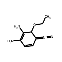 CCOC1C(=[N+]=[N-])C=CC(N)=C1N